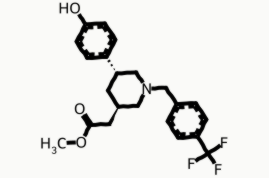 COC(=O)C[C@H]1C[C@H](c2ccc(O)cc2)CN(Cc2ccc(C(F)(F)F)cc2)C1